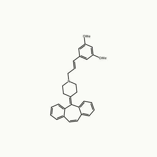 COc1cc(C=CCN2CCC(=C3c4ccccc4C=Cc4ccccc43)CC2)cc(OC)c1